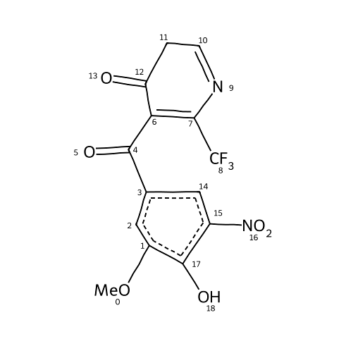 COc1cc(C(=O)C2=C(C(F)(F)F)N=CCC2=O)cc([N+](=O)[O-])c1O